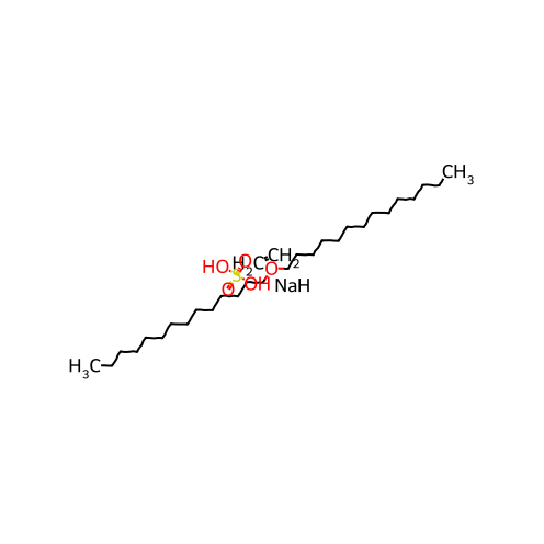 C=C.CCCCCCCCCCCCCCOCCCCCCCCCCCCCC.O=S(=O)(O)O.[NaH]